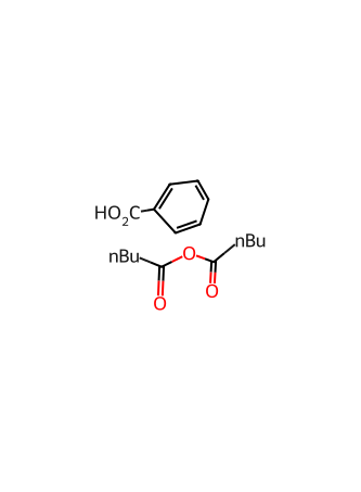 CCCCC(=O)OC(=O)CCCC.O=C(O)c1ccccc1